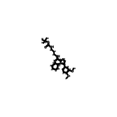 COc1ccc(-c2cnc3c(NCCCNC(=O)OC(C)(C)C)nc4ccccc4n23)cc1OC